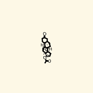 CC(=O)ON1CC[C@H]2[C@@H]3CCC4CC(=O)CC[C@]4(C)[C@@H]3CC[C@@]21C